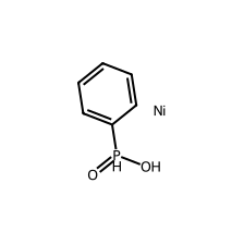 O=[PH](O)c1ccccc1.[Ni]